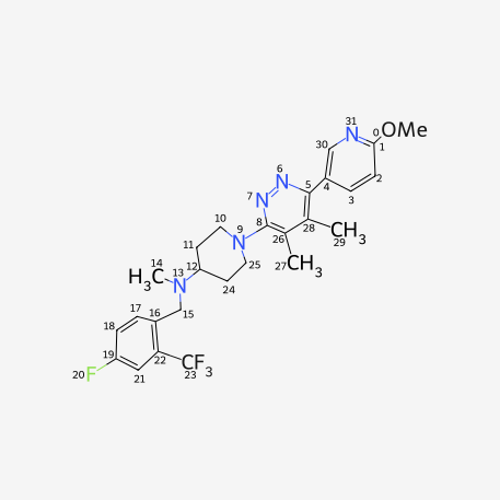 COc1ccc(-c2nnc(N3CCC(N(C)Cc4ccc(F)cc4C(F)(F)F)CC3)c(C)c2C)cn1